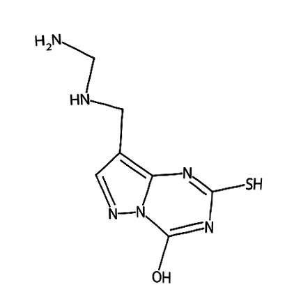 NCNCc1cnn2c(O)nc(S)nc12